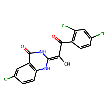 N#CC(C(=O)c1ccc(Cl)cc1Cl)=C1NC(=O)c2cc(Cl)ccc2N1